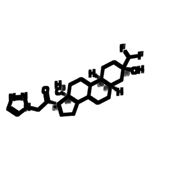 C[C@]12CCC3C(CC[C@@H]4C[C@@](O)(C(F)F)CC[C@H]34)C1CC[C@@H]2C(=O)Cn1ccnn1